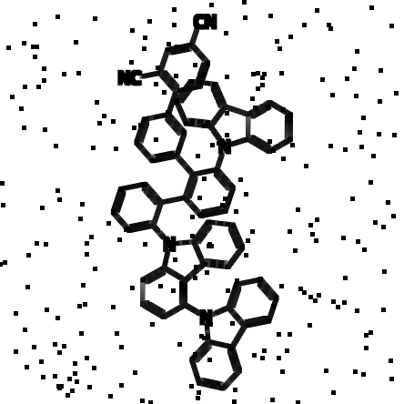 N#Cc1ccc(-c2cccc(-c3c(-c4ccccc4-n4c5ccccc5c5c(-n6c7ccccc7c7ccccc76)cccc54)cccc3-n3c4ccccc4c4ccccc43)c2)c(C#N)c1